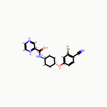 N#Cc1ccc(O[C@H]2CC[C@H](NC(=O)c3cnccn3)CC2)cc1Br